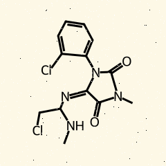 CNC(CCl)N=C1C(=O)N(C)C(=O)N1c1ccccc1Cl